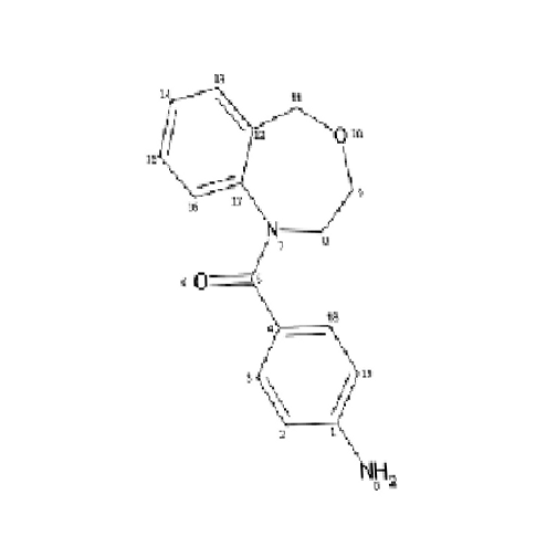 Nc1ccc(C(=O)N2CCOCc3ccccc32)cc1